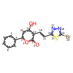 O=c1oc(-c2ccccc2)cc(O)c1C=Cc1nnc(Br)s1